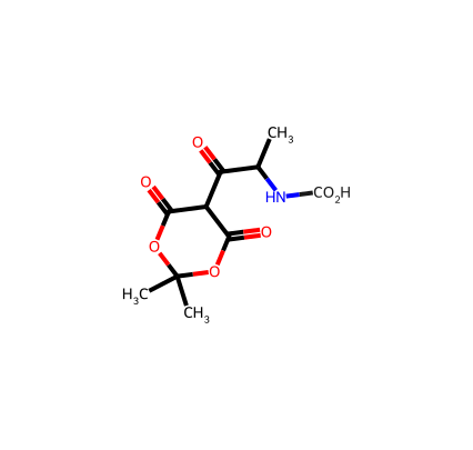 CC(NC(=O)O)C(=O)C1C(=O)OC(C)(C)OC1=O